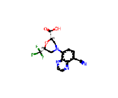 N#Cc1ccc(N2C[C@@H](C(=O)O)O[C@@H](C(F)(F)F)C2)c2nccnc12